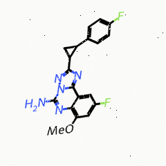 COc1cc(F)cc2c1nc(N)n1nc(C3CC3c3ccc(F)cc3)nc21